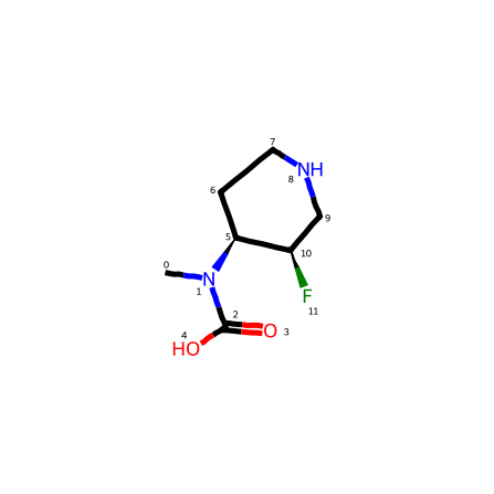 CN(C(=O)O)[C@H]1CCNC[C@H]1F